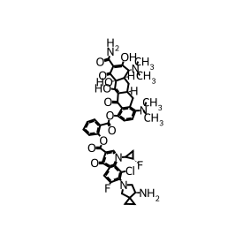 CN(C)c1ccc(OC(=O)c2ccccc2OC(=O)c2cn(C3C[C@@H]3F)c3c(Cl)c(N4C[C@@H](N)C5(CC5)C4)c(F)cc3c2=O)c2c1C[C@@H]1C[C@@H]3[C@@H](N(C)C)C(O)=C(C(N)=O)C(=O)[C@]3(O)C(O)=C1C2=O